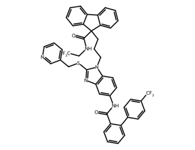 O=C(Nc1ccc2c(c1)nc(SCc1cccnc1)n2CCCC1(C(=O)NCC(F)(F)F)c2ccccc2-c2ccccc21)c1ccccc1-c1ccc(C(F)(F)F)cc1